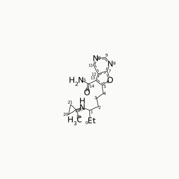 CCC(CCCc1oc2ncncc2c1C(N)=O)NC1(C)CC1